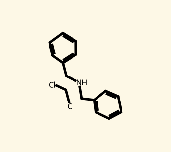 ClCCl.c1ccc(CNCc2ccccc2)cc1